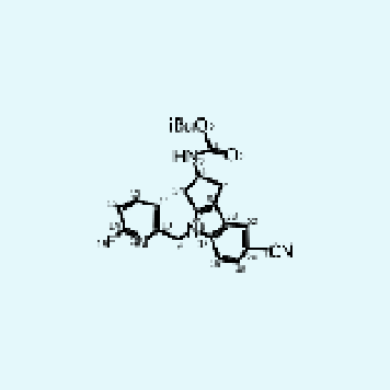 CC(C)COC(=O)NC1Cc2c(n(Cc3cccc(F)n3)c3ccc(C#N)cc23)C1